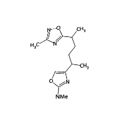 CNc1nc(C(C)CCC(C)c2nc(C)no2)co1